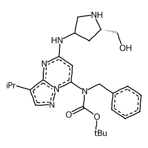 CC(C)c1cnn2c(N(Cc3ccccc3)C(=O)OC(C)(C)C)cc(NC3CN[C@H](CO)C3)nc12